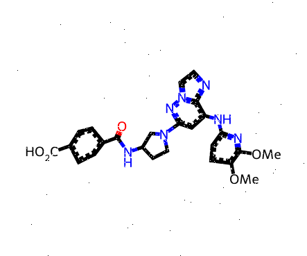 COc1ccc(Nc2cc(N3CCC(NC(=O)c4ccc(C(=O)O)cc4)C3)nn3ccnc23)nc1OC